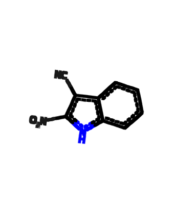 N#Cc1c([N+](=O)[O-])[nH]c2ccccc12